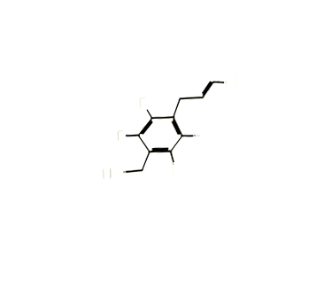 OCc1c(F)c(F)c(C/C=C/Cl)c(F)c1F